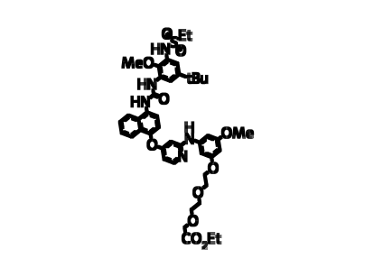 CCOC(=O)COCCOCCOc1cc(Nc2cc(Oc3ccc(NC(=O)Nc4cc(C(C)(C)C)cc(NS(=O)(=O)CC)c4OC)c4ccccc34)ccn2)cc(OC)c1